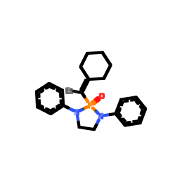 CCC(=C1CCCCC1)P1(=O)N(c2ccccc2)CCN1c1ccccc1